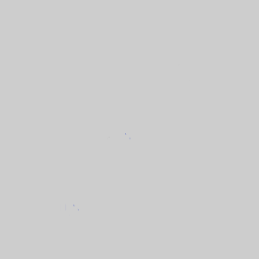 Nc1ccc(C(=O)NC(CO)Cc2ccc(O)cc2)cc1